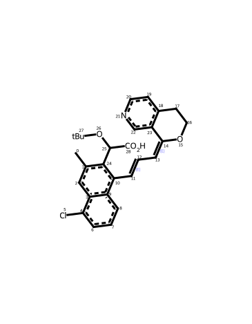 Cc1cc2c(Cl)cccc2c(/C=C/C=C2/OCCc3ccncc32)c1C(OC(C)(C)C)C(=O)O